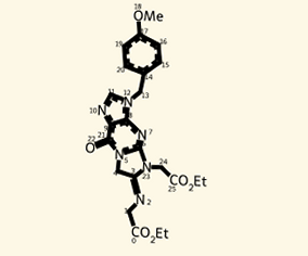 CCOC(=O)C/N=C1\Cn2c(nc3c(ncn3Cc3ccc(OC)cc3)c2=O)N1CC(=O)OCC